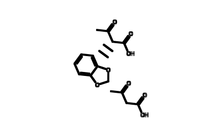 CC.CC.CC(=O)CC(=O)O.CC(=O)CC(=O)O.c1ccc2c(c1)OCO2